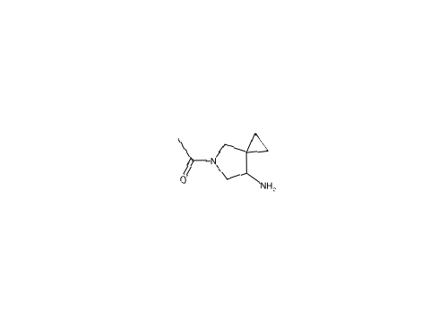 CC(=O)N1CC(N)C2(CC2)C1